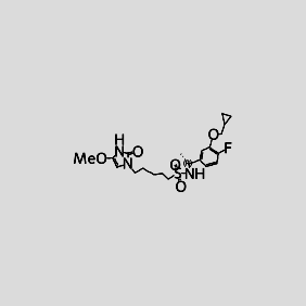 COc1cn(CCCCCS(=O)(=O)N[C@H](C)c2ccc(F)c(OCC3CC3)c2)c(=O)[nH]1